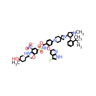 CC(C)c1ccccc1[C@@H]1C2C(C[C@@H]1N1CC3(CCN(c4ccc(C(=O)NS(=O)(=O)c5cc6c(c([N+](=O)[O-])c5)N[C@@H]([C@H]5CC[C@](C)(O)CC5)CO6)c(Oc5cnc6[nH]cc(F)c6c5)c4)CC3)C1)N2C